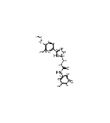 CCOc1ccc(-c2nnc(SCC(=O)Nc3cc(C)cc(C)c3)[nH]2)cc1C